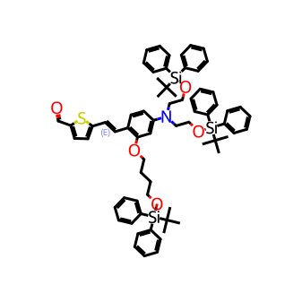 CC(C)(C)[Si](OCCCCOc1cc(N(CCO[Si](c2ccccc2)(c2ccccc2)C(C)(C)C)CCO[Si](c2ccccc2)(c2ccccc2)C(C)(C)C)ccc1/C=C/c1ccc(C=O)s1)(c1ccccc1)c1ccccc1